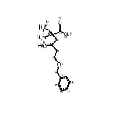 CC(N)(CC(O)CCOCc1ccccc1)C(=O)O